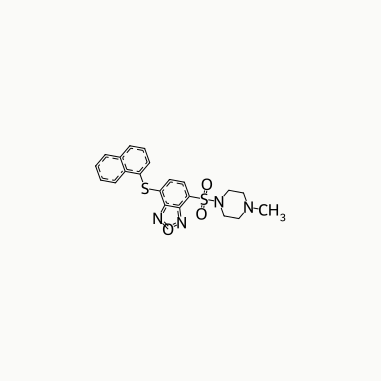 CN1CCN(S(=O)(=O)c2ccc(Sc3cccc4ccccc34)c3nonc23)CC1